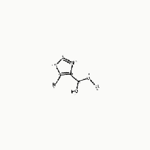 CCOC(O)c1ncsc1Br